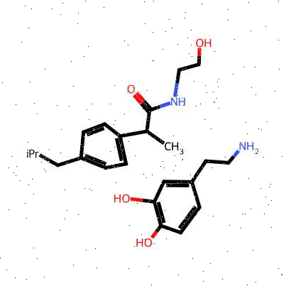 CC(C)Cc1ccc(C(C)C(=O)NCCO)cc1.NCCc1ccc(O)c(O)c1